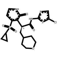 O=C(Nc1ncc(Cl)s1)[C@@H](CC1CCOCC1)c1c(S(=O)(=O)C2CC2)cc[nH]c1=O